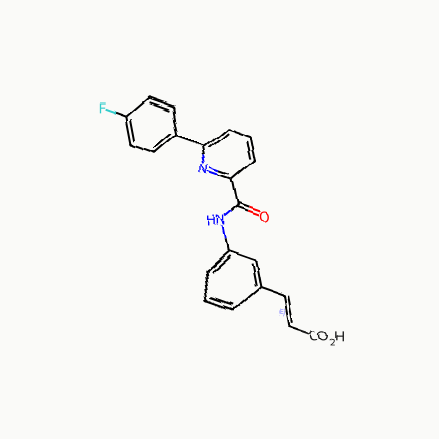 O=C(O)/C=C/c1cccc(NC(=O)c2cccc(-c3ccc(F)cc3)n2)c1